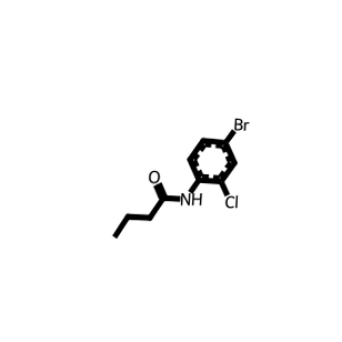 CCCC(=O)Nc1ccc(Br)cc1Cl